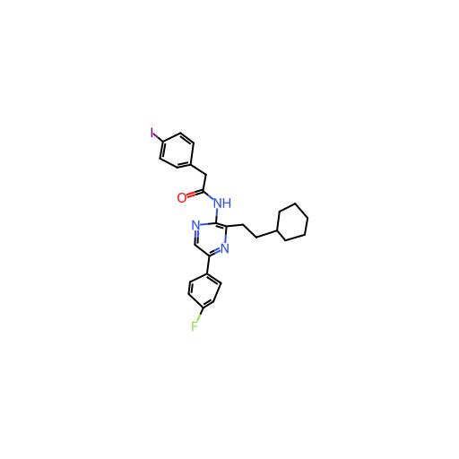 O=C(Cc1ccc(I)cc1)Nc1ncc(-c2ccc(F)cc2)nc1CCC1CCCCC1